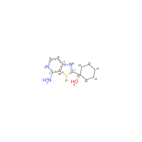 Nc1nccc2nc(C3(O)CCCCC3)sc12